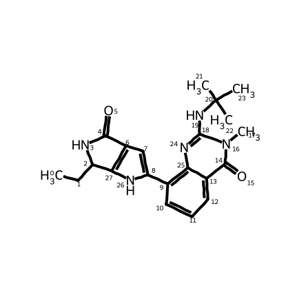 CCC1NC(=O)c2cc(-c3cccc4c(=O)n(C)c(NC(C)(C)C)nc34)[nH]c21